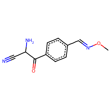 CON=Cc1ccc(C(=O)C(N)C#N)cc1